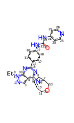 CCn1ncc2c(N3C4CCC3COC4)nc(-c3ccc(NC(=O)Nc4ccncc4)cc3)nc21